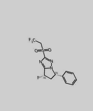 O=S(=O)(CC(F)(F)F)c1nc2n(n1)[C@H](c1ccccc1)C[C@@H]2F